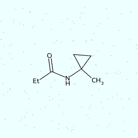 CCC(=O)NC1(C)CC1